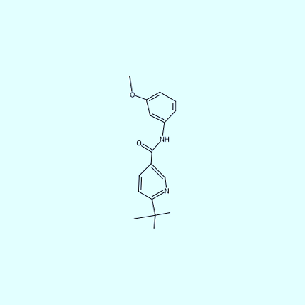 COc1cccc(NC(=O)c2ccc(C(C)(C)C)nc2)c1